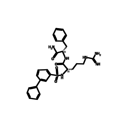 N=C(N)NCCC[C@H](NS(=O)(=O)c1cccc(-c2ccccc2)c1)C(=O)N[C@@H](Cc1ccccc1)C(N)=O